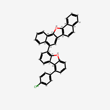 Clc1ccc(-c2cccc3oc4c(-c5cc6c7ccc8ccccc8c7oc6c6ccccc56)cccc4c23)cc1